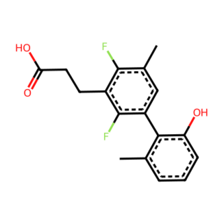 Cc1cc(-c2c(C)cccc2O)c(F)c(CCC(=O)O)c1F